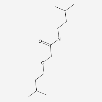 CC(C)CCNC(=O)COCCC(C)C